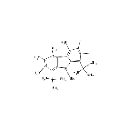 Bc1c(B)c(C(B)(B)B)c2c(c1B)c1c(B)c(C)c(C)c(C(B)(B)B)c1n2C(C)(C)C